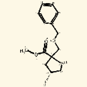 COC(=O)C1(COCc2ccccc2)C[C@@H](F)CN1